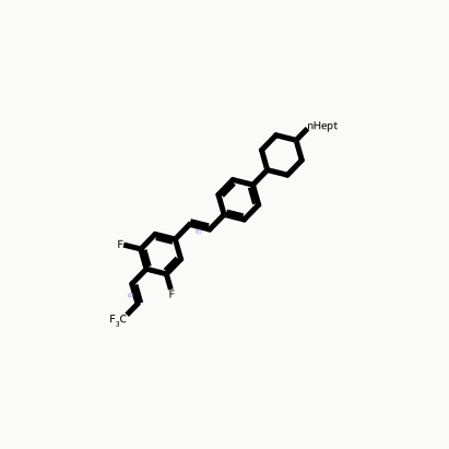 CCCCCCCC1CCC(c2ccc(/C=C/c3cc(F)c(/C=C/C(F)(F)F)c(F)c3)cc2)CC1